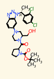 C[C@H](c1ccc(Cl)cc1Cl)n1nnc2ccc(N3CCN(C(=O)C4CCCN4C(=O)OC(C)(C)C)C(CO)C3)cc21